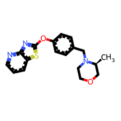 C[C@H]1COCCN1Cc1ccc(Oc2nc3ncccc3s2)cc1